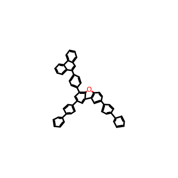 c1ccc(-c2ccc(-c3ccc4oc5c(-c6ccc(-c7cc8ccccc8c8ccccc78)cc6)cc(-c6ccc(-c7ccccc7)cc6)cc5c4c3)cc2)cc1